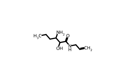 C=CCNC(=O)C(O)C(N)CCC